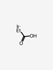 CCC(=O)O.[Ir]